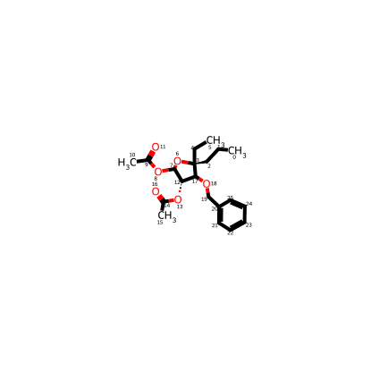 CCC[C@]1(CC)OC(OC(C)=O)[C@@H](OC(C)=O)C1OCc1ccccc1